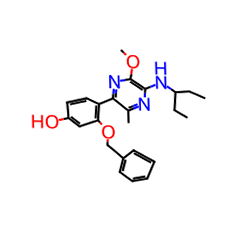 CCC(CC)Nc1nc(C)c(-c2ccc(O)cc2OCc2ccccc2)nc1OC